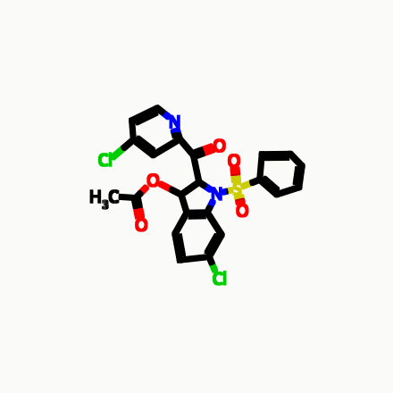 CC(=O)OC1c2ccc(Cl)cc2N(S(=O)(=O)c2ccccc2)C1C(=O)c1cc(Cl)ccn1